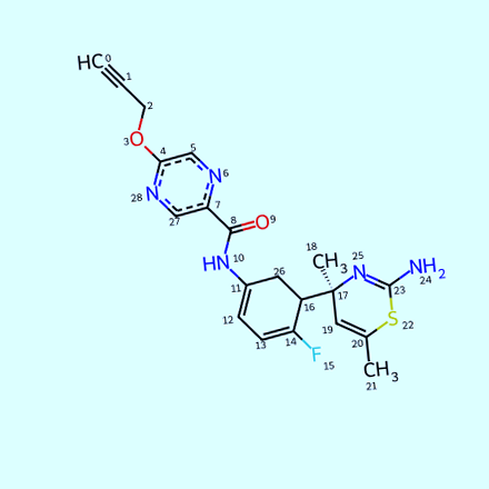 C#CCOc1cnc(C(=O)NC2=CC=C(F)C([C@]3(C)C=C(C)SC(N)=N3)C2)cn1